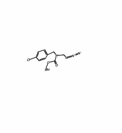 CC(C)(C)OC(=O)N(CN=[N+]=[N-])Cc1ccc(Cl)cc1